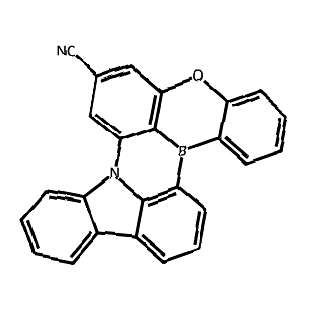 N#Cc1cc2c3c(c1)-n1c4ccccc4c4cccc(c41)B3c1ccccc1O2